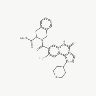 COC(=O)C1Cc2ccccc2CN1C(=O)c1cc2[nH]c(=O)c3cnc(C4CCOCC4)n3c2cc1C